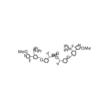 COc1cc(-c2ccc(COc3cccc(C(CO[PH](=O)OCC(c4cccc(OCc5ccc(-c6cc(OC)ncc6F)c(CN(C(C)C)C(C)C)c5)c4)C4CC4)C4CC4)c3)cc2CN(C(C)C)C(C)C)c(F)cn1